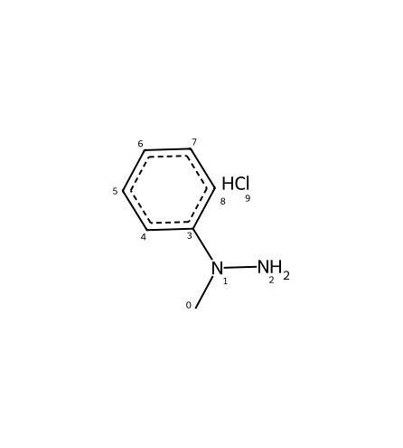 CN(N)c1ccccc1.Cl